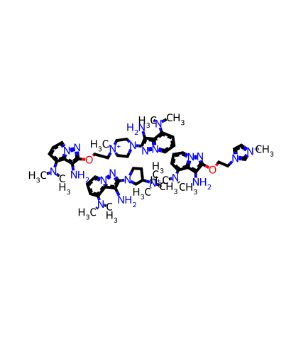 CN(C)c1cccn2nc(N3CCC([N+](C)(C)C)C3)c(N)c12.CN(C)c1cccn2nc(OCC[N+]3(C)CCN(c4nn5cccc(N(C)C)c5c4N)CC3)c(N)c12.CN(C)c1cccn2nc(OCCn3cc[n+](C)c3)c(N)c12